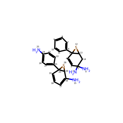 NC1(N)C=CC2(c3ccccc3)SC2C1.NC1=CC=CC2(c3ccc(N)cc3)SC12